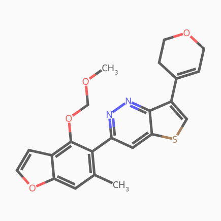 COCOc1c(-c2cc3scc(C4=CCOCC4)c3nn2)c(C)cc2occc12